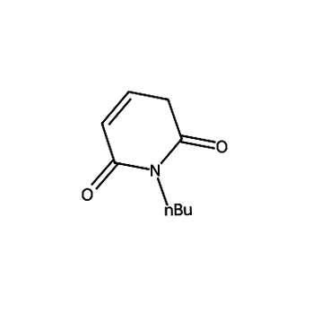 CCCCN1C(=O)C=CCC1=O